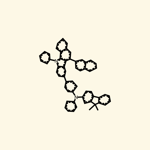 CC1(C)c2ccccc2-c2ccc(N(c3ccccc3)c3ccc(-c4ccc5c(c4)c4c(-c6ccc7ccccc7c6)cc6ccccc6c4n5-c4ccccc4)cc3)cc21